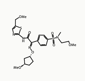 COCCN(C)S(=O)(=O)c1ccc(/C(=N\O[C@@H]2CC[C@@H](OC)C2)C(=O)Nc2ncc(COC)s2)cc1